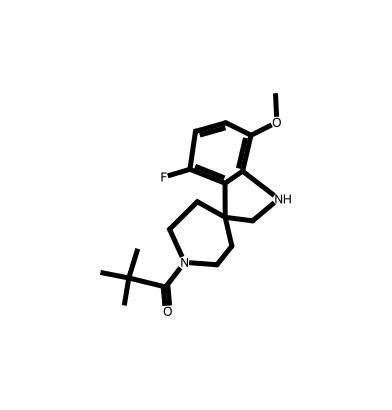 COc1ccc(F)c2c1NCC21CCN(C(=O)C(C)(C)C)CC1